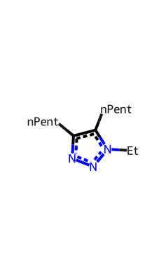 CCCCCc1nnn(CC)c1CCCCC